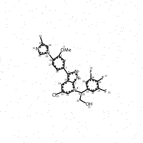 COc1cc(-c2nnc3n([C@H](CO)c4cc(F)c(F)c(F)c4)cc(Cl)cc2-3)ccc1-n1cnc(C)c1